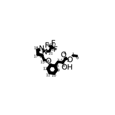 CCOC(=O)C(O)Cc1ccccc1OCc1ccnn1CC(F)(F)F